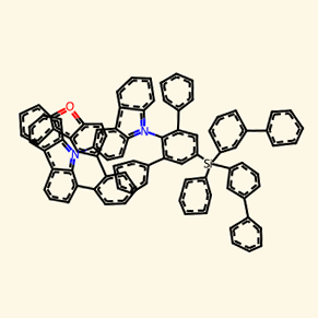 c1ccc(-c2cccc([Si](c3ccccc3)(c3cccc(-c4ccccc4)c3)c3cc(-c4ccccc4)c(-n4c5ccccc5c5cc(-n6c7ccccc7c7cccc(-c8ccccc8-c8ccc9oc%10ccccc%10c9c8)c76)ccc54)c(-c4ccccc4)c3)c2)cc1